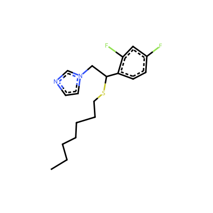 CCCCCCCSC(Cn1ccnc1)c1ccc(F)cc1F